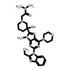 CCc1nc2ccccc2n1-c1nc(N2CCOCC2)c2nc(C3(O)CCCN(CC(=O)N(C)C)C3)n(C)c2n1